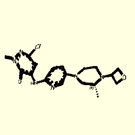 C[C@@H]1CN(c2ccc(Nc3cc(Cl)nn(C)c3=O)nc2)CCN1C1COC1